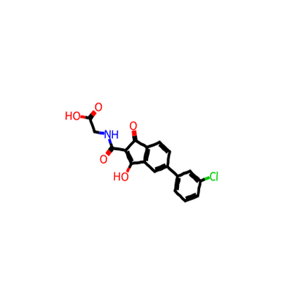 O=C(O)CNC(=O)C1=C(O)c2cc(-c3cccc(Cl)c3)ccc2C1=O